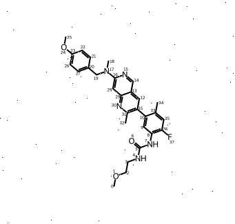 COCCNC(=O)Nc1cc(-c2cc3cnc(N(C)Cc4ccc(OC)cc4)cc3nc2C)c(C)cc1F